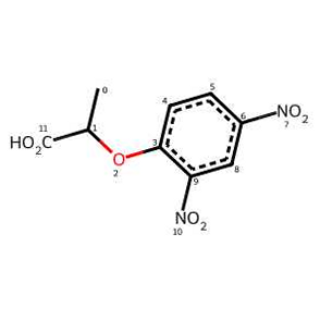 CC(Oc1ccc([N+](=O)[O-])cc1[N+](=O)[O-])C(=O)O